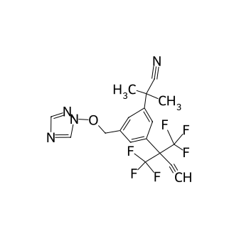 C#CC(c1cc(COn2cncn2)cc(C(C)(C)C#N)c1)(C(F)(F)F)C(F)(F)F